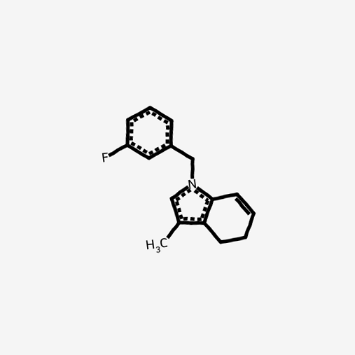 Cc1cn(Cc2cccc(F)c2)c2c1CCC=C2